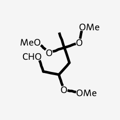 COOC(CC=O)CC(C)(OOC)OOC